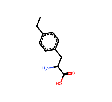 CCc1ccc(CC(N)C(=O)O)cc1